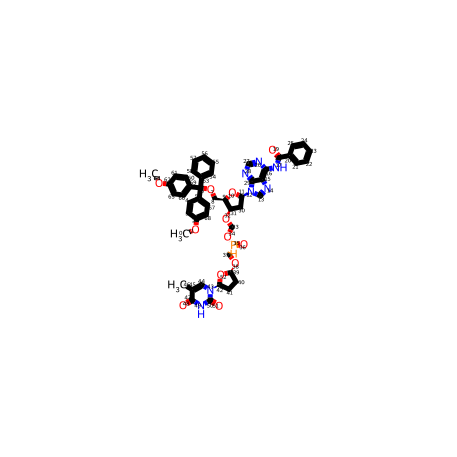 COc1ccc(C(OC[C@H]2O[C@@H](n3cnc4c(NC(=O)c5ccccc5)ncnc43)C[C@H]2OCO[PH](=O)CO[C@@H]2[CH]C[C@H](n3cc(C)c(=O)[nH]c3=O)O2)(c2ccccc2)c2ccc(OC)cc2)cc1